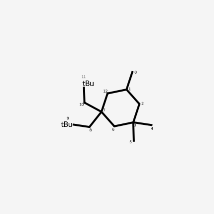 CC1CC(C)(C)CC(CC(C)(C)C)(CC(C)(C)C)C1